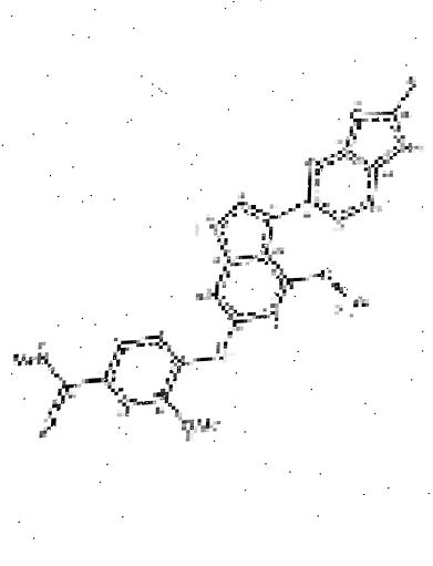 CC[C@H](C)Oc1nc(Nc2ccc(C(=O)NC)cc2OC)nc2[nH]cc(-c3ccc4nc(C)oc4c3)c12